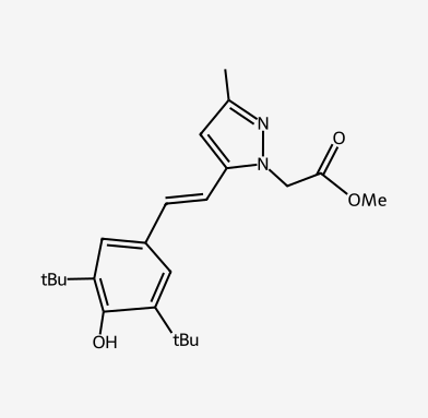 COC(=O)Cn1nc(C)cc1C=Cc1cc(C(C)(C)C)c(O)c(C(C)(C)C)c1